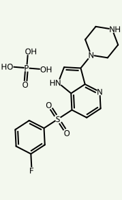 O=P(O)(O)O.O=S(=O)(c1cccc(F)c1)c1ccnc2c(N3CCNCC3)c[nH]c12